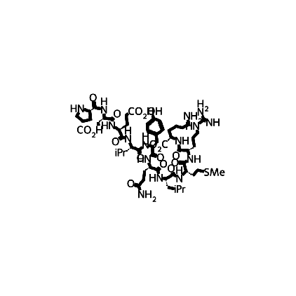 CSCC[C@H](NC(=O)[C@H](CC(C)C)NC(=O)[C@H](CCC(N)=O)NC(=O)[C@H](Cc1ccc(O)cc1)NC(=O)[C@@H](NC(=O)[C@H](CCC(=O)O)NC(=O)[C@H](CC(=O)O)NC(=O)[C@@H]1CCCN1)C(C)C)C(=O)N[C@@H](CCCNC(=N)N)C(=O)N[C@@H](CCCCN)C(=O)O